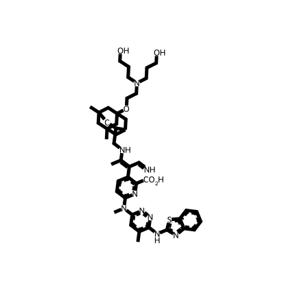 C/C(NCC1CC2(C)CC3(C)CC1CC(OCCN(CCCO)CCCO)(C2)C3)=C(/C=N)c1ccc(N(C)c2cc(C)c(Nc3nc4ccccc4s3)nn2)nc1C(=O)O